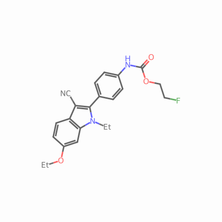 CCOc1ccc2c(C#N)c(-c3ccc(NC(=O)OCCF)cc3)n(CC)c2c1